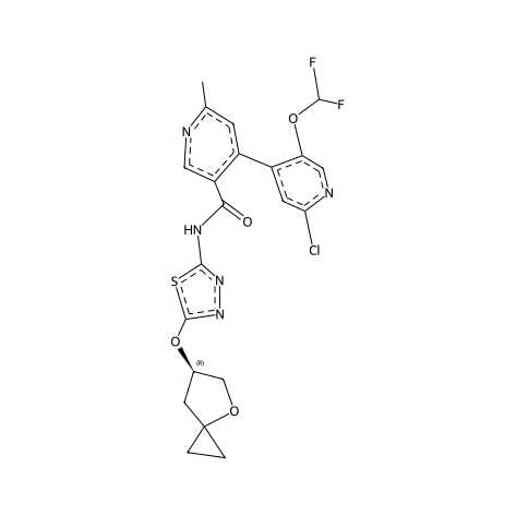 Cc1cc(-c2cc(Cl)ncc2OC(F)F)c(C(=O)Nc2nnc(O[C@H]3COC4(CC4)C3)s2)cn1